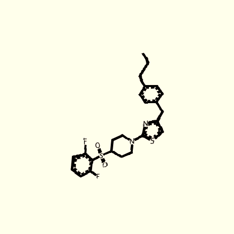 CCCc1ccc(Cc2csc(N3CCC(S(=O)(=O)c4c(F)cccc4F)CC3)n2)cc1